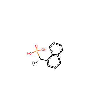 C[C@@H](c1cccc2ccccc12)P(=O)(O)O